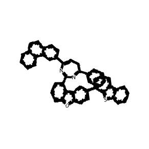 C1=C(c2ccc3ccc4ccccc4c3c2)N=C(c2cccc3oc4ccc(-c5cccc6c5sc5ccccc56)cc4c23)N=C(c2ccccc2)C1